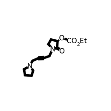 CCOC(=O)O[C@@H]1CCN(CC#CCN2CCCC2)C1=O